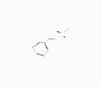 CC(C)S(=O)(=O)NCc1ccccc1